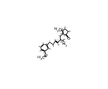 COc1cccc(CC/C=C/C(C)CC2=C(C)CCC2=O)c1